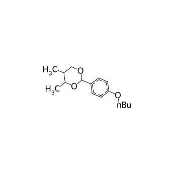 CCCCOc1ccc(C2OCC(C)C(C)O2)cc1